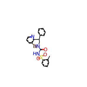 Cc1ccccc1S(=O)(=O)NC(=O)NCC(c1ccccc1)c1ncccc1Br